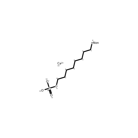 CCCCCCCCCCCCCCCCCOP(=O)([O-])[O-].[Ca+2]